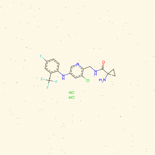 Cl.Cl.NC1(C(=O)NCc2ncc(Nc3ccc(F)cc3C(F)(F)F)cc2Cl)CC1